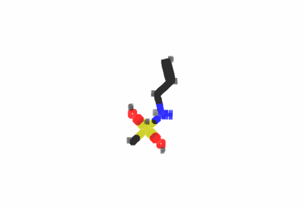 C=CCNS(C)(=O)=O